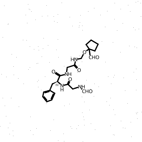 O=CNCC(=O)N[C@@H](Cc1ccccc1)C(=O)NCC(=O)NCOC1(C=O)CCCC1